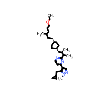 CCOCCCC(C)CC[C@H]1CC[C@H](C[C@@H](C)C(C)c2nccc(-c3cnn(C)c3CC3CC3)n2)CC1